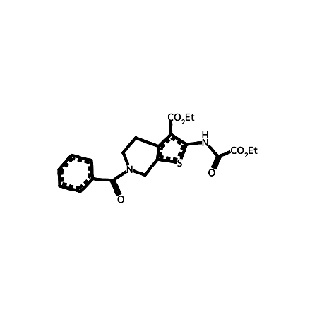 CCOC(=O)C(=O)Nc1sc2c(c1C(=O)OCC)CCN(C(=O)c1ccccc1)C2